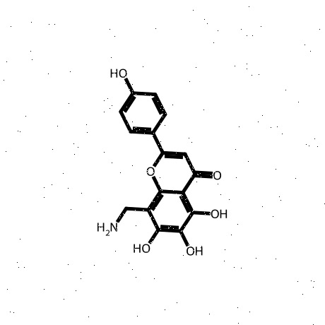 NCc1c(O)c(O)c(O)c2c(=O)cc(-c3ccc(O)cc3)oc12